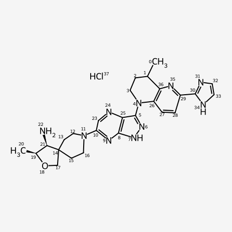 CC1CCN(c2n[nH]c3nc(N4CCC5(CC4)CO[C@@H](C)[C@H]5N)cnc23)c2ccc(-c3ncc[nH]3)nc21.Cl